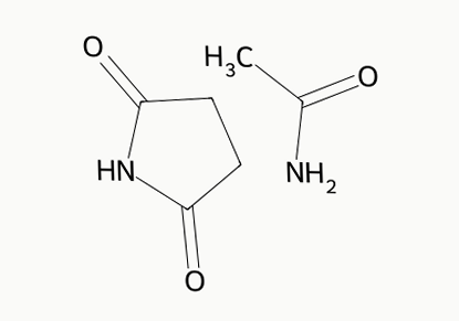 CC(N)=O.O=C1CCC(=O)N1